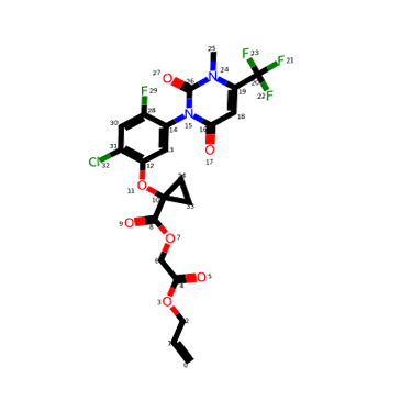 C=CCOC(=O)COC(=O)C1(Oc2cc(-n3c(=O)cc(C(F)(F)F)n(C)c3=O)c(F)cc2Cl)CC1